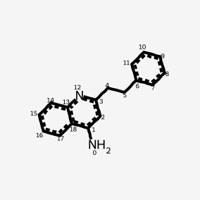 Nc1cc(CCc2ccccc2)nc2ccccc12